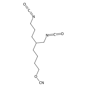 N#COCCCCC(CCCN=C=O)CN=C=O